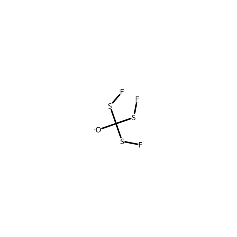 [O]C(SF)(SF)SF